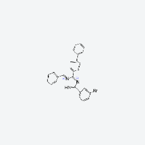 N=C(/N=C(\N=C\c1ccccc1)c1ccc(-c2ccccc2)cc1)c1cccc(Br)c1